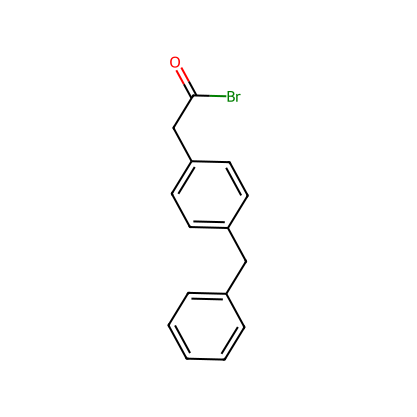 O=C(Br)Cc1ccc(Cc2ccccc2)cc1